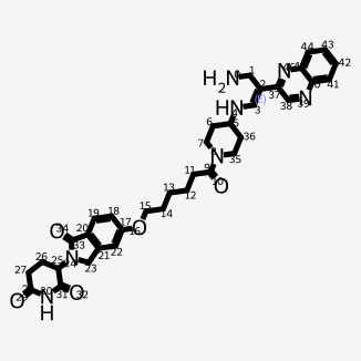 NC/C(=C\NC1CCN(C(=O)CCCCCOc2ccc3c(c2)CN(C2CCC(=O)NC2=O)C3=O)CC1)c1cnc2ccccc2n1